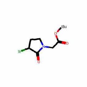 CC(C)(C)OC(=O)CN1CCC(Br)C1=O